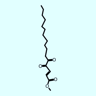 CCCCCCCCCCCC(=O)C(=O)/C=C/C(=O)OC